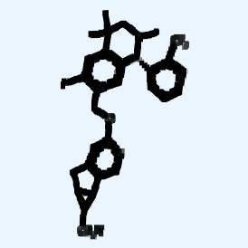 CN1CC(C)(C)c2cc(F)c(COc3cc4c(cn3)C3C(C4)C3C(=O)O)cc2[C@H]1c1ccccc1C(F)(F)F